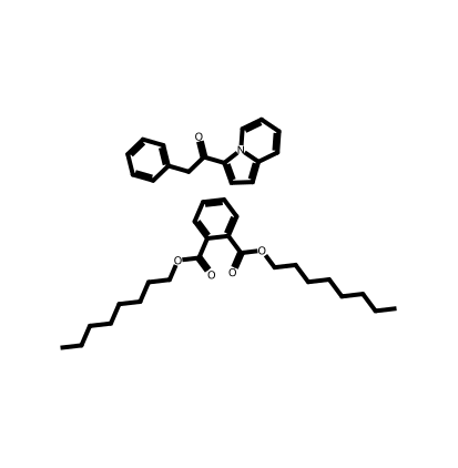 CCCCCCCCOC(=O)c1ccccc1C(=O)OCCCCCCCC.O=C(Cc1ccccc1)c1ccc2ccccn12